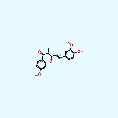 COc1ccc(C(=O)C(C)C(=O)/C=C/c2ccc(O)c(OC)c2)cc1